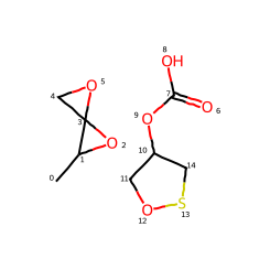 CC1OC12CO2.O=C(O)OC1COSC1